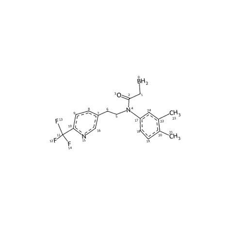 BCC(=O)N(CCc1ccc(C(F)(F)F)nc1)c1ccc(C)c(C)c1